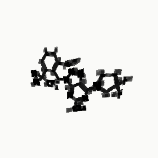 C#Cc1cccc(C2(C(F)(F)F)N=N2)c1Cn1nnc2c(N3CCC(F)(F)C3)nc(C(C)(C)C)nc21